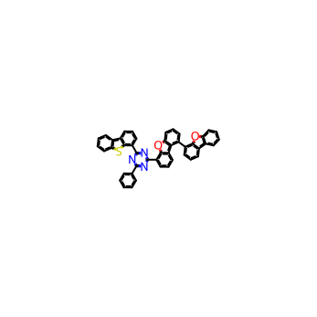 c1ccc(-c2nc(-c3cccc4c3oc3cccc(-c5cccc6c5oc5ccccc56)c34)nc(-c3cccc4c3sc3ccccc34)n2)cc1